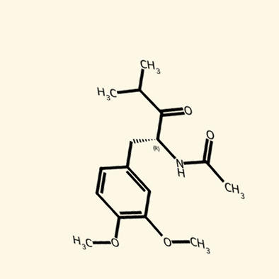 COc1ccc(C[C@@H](NC(C)=O)C(=O)C(C)C)cc1OC